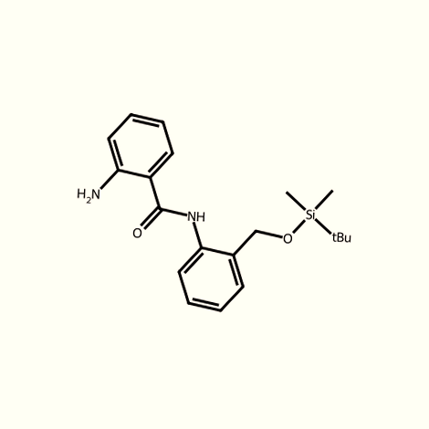 CC(C)(C)[Si](C)(C)OCc1ccccc1NC(=O)c1ccccc1N